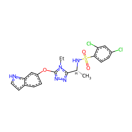 CCn1c(Oc2ccc3cc[nH]c3c2)nnc1[C@@H](C)NS(=O)(=O)c1ccc(Cl)cc1Cl